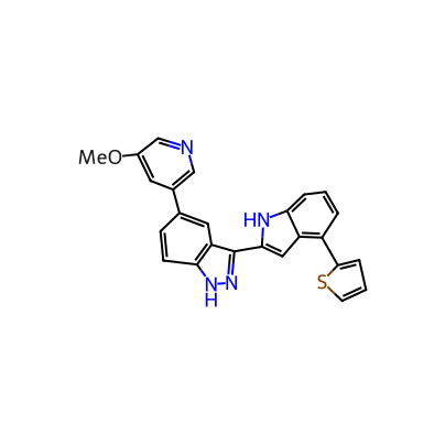 COc1cncc(-c2ccc3[nH]nc(-c4cc5c(-c6cccs6)cccc5[nH]4)c3c2)c1